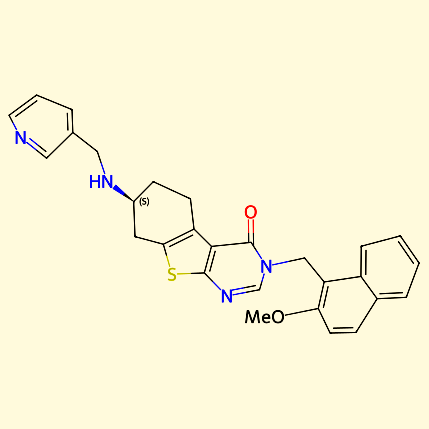 COc1ccc2ccccc2c1Cn1cnc2sc3c(c2c1=O)CC[C@H](NCc1cccnc1)C3